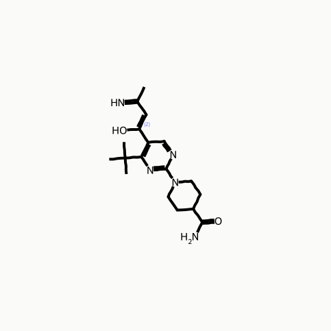 CC(=N)/C=C(\O)c1cnc(N2CCC(C(N)=O)CC2)nc1C(C)(C)C